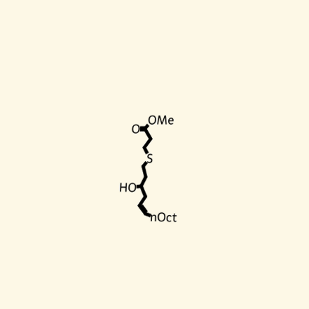 CCCCCCCC/C=C\CC(O)CCSCCC(=O)OC